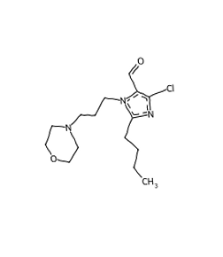 CCCCc1nc(Cl)c(C=O)n1CCCN1CCOCC1